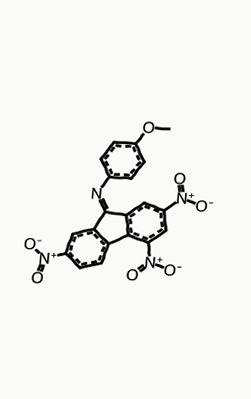 COc1ccc(N=C2c3cc([N+](=O)[O-])ccc3-c3c2cc([N+](=O)[O-])cc3[N+](=O)[O-])cc1